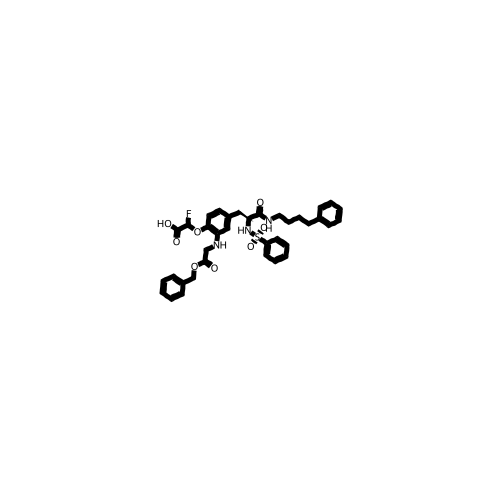 O=C(CNc1cc(C[C@H](NS(=O)(=O)c2ccccc2)C(=O)NCCCCc2ccccc2)ccc1OC(F)C(=O)O)OCc1ccccc1